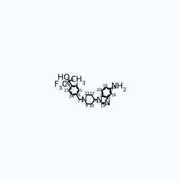 CC(O)(c1ccc(CN2CCC(n3cnc4cc(N)ccc43)CC2)cc1)C(F)(F)F